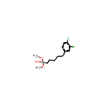 CO[Si](O)(CCCCCc1ccc(F)c(F)c1)OC